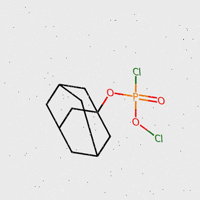 O=P(Cl)(OCl)OC12CC3CC(CC(C3)C1)C2